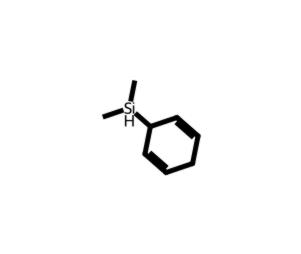 C[SiH](C)C1C=CCC=C1